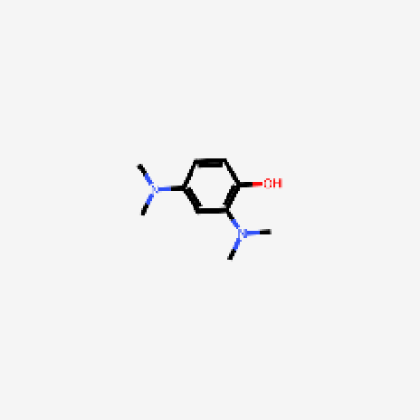 CN(C)c1ccc(O)c(N(C)C)c1